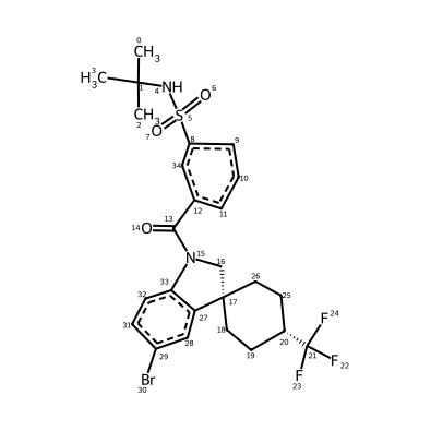 CC(C)(C)NS(=O)(=O)c1cccc(C(=O)N2C[C@]3(CC[C@@H](C(F)(F)F)CC3)c3cc(Br)ccc32)c1